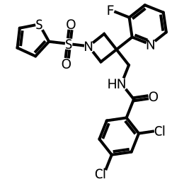 O=C(NCC1(c2ncccc2F)CN(S(=O)(=O)c2cccs2)C1)c1ccc(Cl)cc1Cl